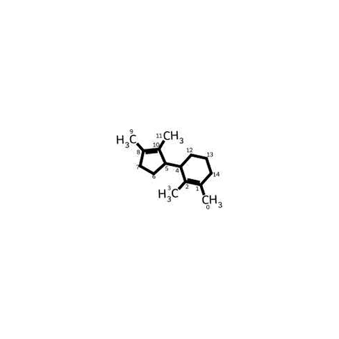 CC1=C(C)C(C2CCC(C)=C2C)CCC1